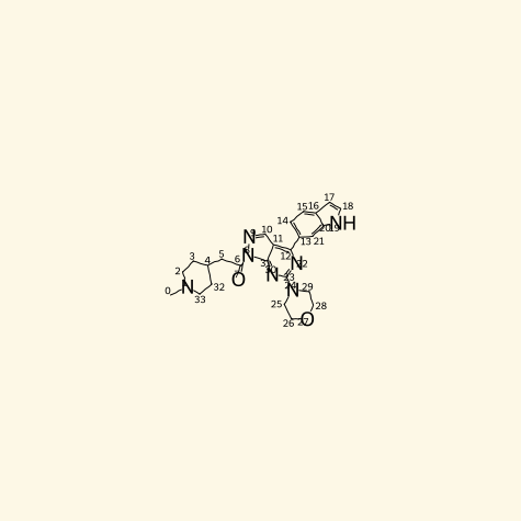 CN1CCC(CC(=O)n2ncc3c(-c4ccc5cc[nH]c5c4)nc(N4CCOCC4)nc32)CC1